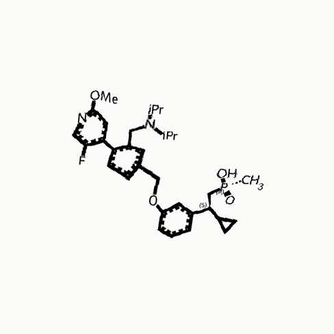 COc1cc(-c2ccc(COc3cccc([C@@H](C[P@](C)(=O)O)C4CC4)c3)cc2CN(C(C)C)C(C)C)c(F)cn1